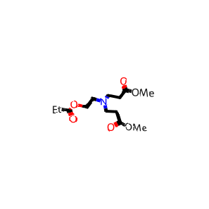 CCC(=O)OCCN(CCC(=O)OC)CCC(=O)OC